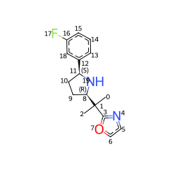 CC(C)(c1ncco1)[C@H]1CC[C@@H](c2cccc(F)c2)N1